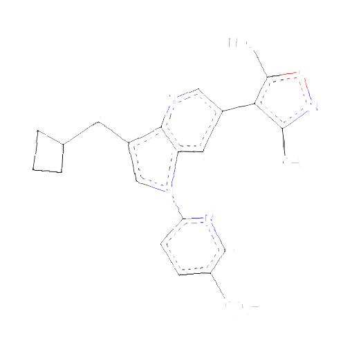 Cc1noc(C)c1-c1cnc2c(CC3CCC3)cn(-c3ccc(C(=O)O)cn3)c2c1